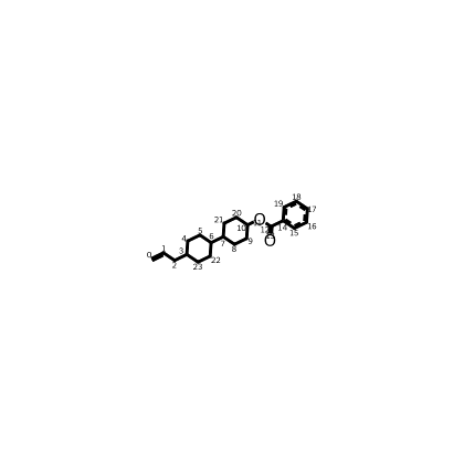 C=CCC1CCC(C2CCC(OC(=O)c3ccccc3)CC2)CC1